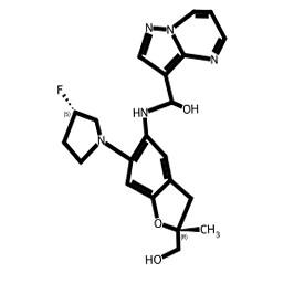 C[C@]1(CO)Cc2cc(NC(O)c3cnn4cccnc34)c(N3CC[C@H](F)C3)cc2O1